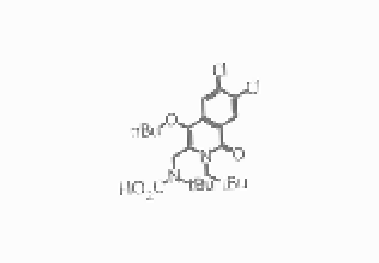 CCCCOc1c(CN(C(=O)O)C(C)(C)C)n(CC(C)(C)C)c(=O)c2cc(Cl)c(Cl)cc12